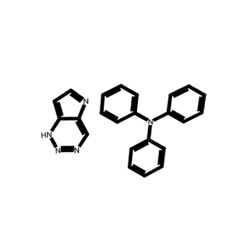 c1cc2[nH]nncc-2n1.c1ccc(N(c2ccccc2)c2ccccc2)cc1